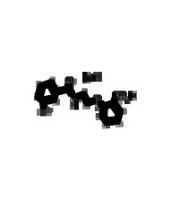 CC(C)c1cccc(C(=O)NCCOc2ccccc2C(=O)O)c1.[NaH]